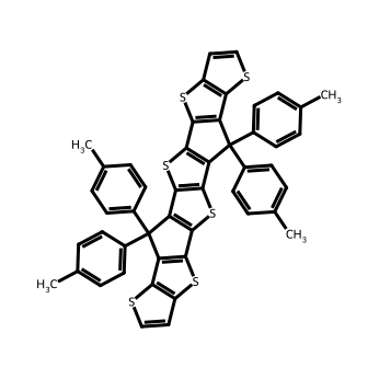 Cc1ccc(C2(c3ccc(C)cc3)c3c(sc4ccsc34)-c3sc4c5c(sc4c32)-c2sc3ccsc3c2C5(c2ccc(C)cc2)c2ccc(C)cc2)cc1